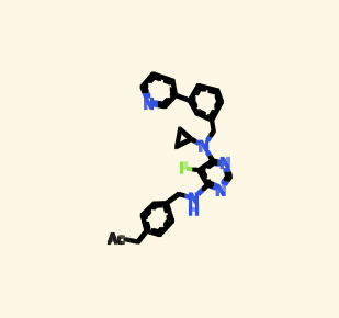 CC(=O)Cc1ccc(CNc2ncnc(N(Cc3cccc(-c4cccnc4)c3)C3CC3)c2F)cc1